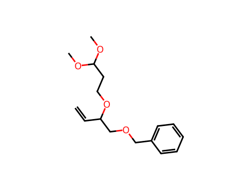 C=CC(COCc1ccccc1)OCCC(OC)OC